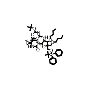 BCN/C(=N\C(=O)OC(C)(C)C)N[C@H]1C(OCCCC)[C@](COCCCC)(CO[Si](c2ccccc2)(c2ccccc2)C(C)(C)C)O[C@H]1n1cc(C)c(=O)[nH]c1=O